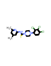 Cc1cc(C)nc(NC(=S)N2CCN(c3ccc(Cl)c(Cl)c3Cl)CC2)c1